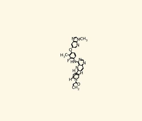 C=CC(=O)N1C[C@H]2CC[C@@H]1C[C@H]2c1ccc2ncnc(Nc3ccc(Oc4cnc5c(c4)ncn5C)c(C)c3F)c2n1